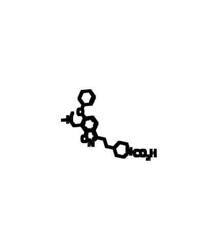 CN(C)Cc1c(OC2C=CCCC2)ccc2c(CCC3CCN(C(=O)O)CC3)noc12